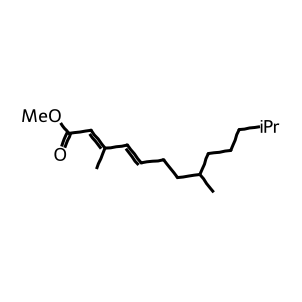 COC(=O)/C=C(C)/C=C/CCC(C)CCCC(C)C